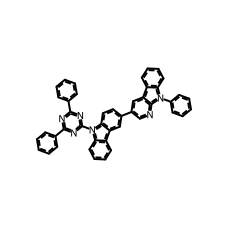 c1ccc(-c2nc(-c3ccccc3)nc(-n3c4ccccc4c4cc(-c5cnc6c(c5)c5ccccc5n6-c5ccccc5)ccc43)n2)cc1